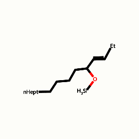 CCC=CC(CCCCCCCCCCC)O[SiH3]